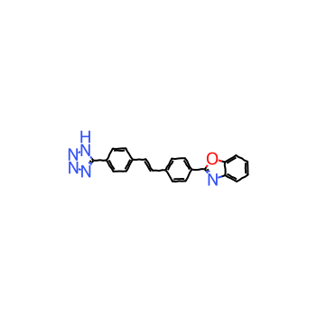 C(=Cc1ccc(-c2nc3ccccc3o2)cc1)c1ccc(-c2nnn[nH]2)cc1